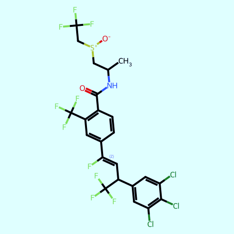 CC(C[S+]([O-])CC(F)(F)F)NC(=O)c1ccc(/C(F)=C/C(c2cc(Cl)c(Cl)c(Cl)c2)C(F)(F)F)cc1C(F)(F)F